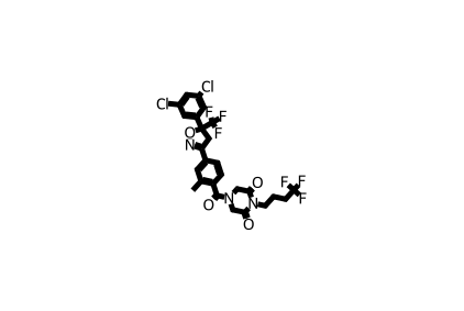 Cc1cc(C2=NOC(c3cc(Cl)cc(Cl)c3)(C(F)(F)F)C2)ccc1C(=O)N1CC(=O)N(CCCC(F)(F)F)C(=O)C1